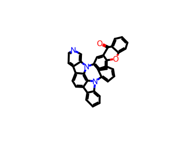 O=c1c2ccccc2oc2ccc(-n3c4cnccc4c4ccc5c6ccccc6n(-c6ccccc6)c5c43)cc12